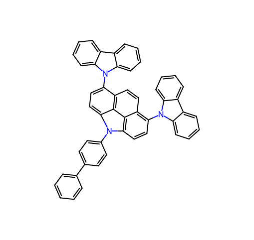 c1ccc(-c2ccc(-n3c4ccc(-n5c6ccccc6c6ccccc65)c5ccc6c(-n7c8ccccc8c8ccccc87)ccc3c6c54)cc2)cc1